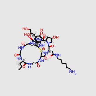 CC[C@H](C)[C@@H]1NC(=O)CNC(=O)C2Cc3c([nH]c4cc(O)ccc34)[S@+]([O-])CC(NC(=O)CNC1=O)C(=O)N[C@@H](CC(=O)NCCCCCCN)C(=O)N1CC(O)C[C@H]1C(=O)N[C@@H]([C@@H](C)[C@@H](O)CO)C(=O)N2